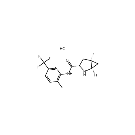 Cc1ccc(C(F)(F)F)nc1NC(=O)[C@@H]1C[C@@]2(C)C[C@H]2N1.Cl